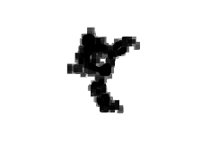 Cc1c(Cl)c2c(Cl)c(C)c1-c1c(-c3ccc(F)cc3)sc3ncnc(c13)O[C@@H](C(=O)O)Cc1cc(ccc1OCc1ccnc(N3CCC(C)(O)CC3)n1)OC[C@@H](CN1CCN(C)CC1)O2